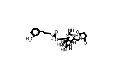 Cc1cccc(CCCNC(=O)OC2CN3C(=N)NC(CN4C(=O)CCC4=O)[C@@H]4NC(=N)N[C@@]43C2(O)O)c1